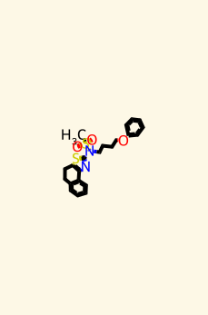 CS(=O)(=O)N(CCCCOc1ccccc1)c1nc2c(s1)CCc1ccccc1-2